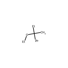 CCOC(C)(CC)C(C)C